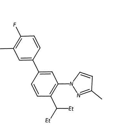 CCC(CC)c1ccc(-c2ccc(F)c(C)c2)cc1-n1ccc(C)n1